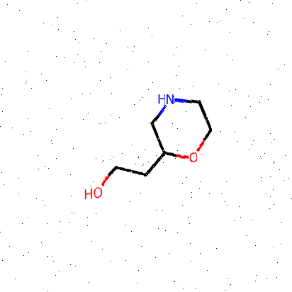 OCC[C]1CNCCO1